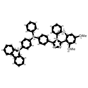 COc1cc(OC)c(-c2nnc(-c3ccc(N(c4ccccc4)c4ccc(-n5c6ccccc6c6ccccc65)cc4)cc3)n2-c2ccccc2)c(OC)c1